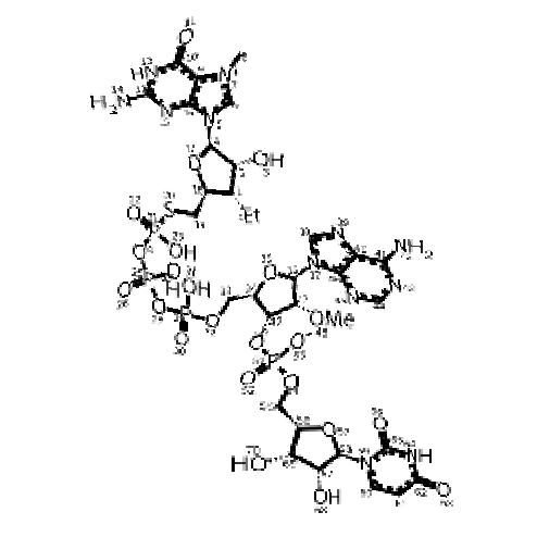 CC[C@H]1[C@@H](O)[C@H](n2c[n+](C)c3c(=O)[nH]c(N)nc32)O[C@@H]1CSP(=O)(O)OP(=O)(O)OP(=O)(O)OC[C@H]1O[C@@H](n2cnc3c(N)ncnc32)[C@H](OC)[C@@H]1OP(=O)([O-])OC[C@H]1O[C@@H](n2ccc(=O)[nH]c2=O)[C@H](O)[C@@H]1O